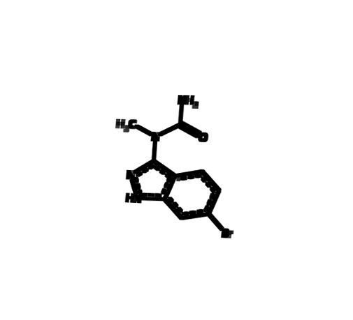 CN(C(N)=O)c1n[nH]c2cc(Br)ccc12